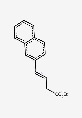 CCOC(=O)C/C=C/c1ccc2ccccc2c1